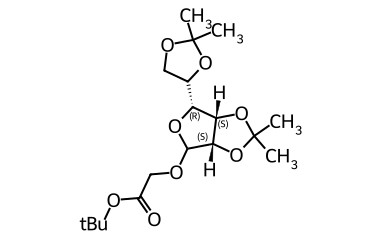 CC(C)(C)OC(=O)COC1O[C@H](C2COC(C)(C)O2)[C@@H]2OC(C)(C)O[C@H]12